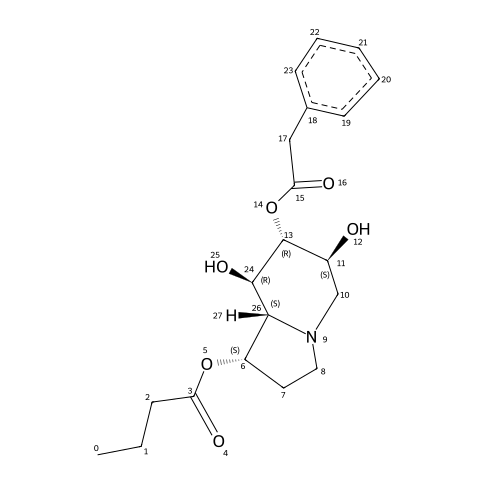 CCCC(=O)O[C@H]1CCN2C[C@H](O)[C@@H](OC(=O)Cc3ccccc3)[C@H](O)[C@@H]12